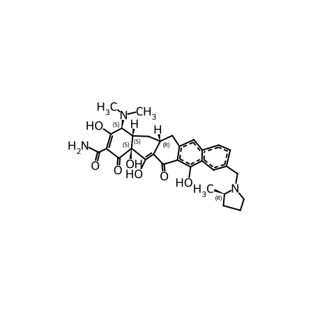 C[C@@H]1CCCN1Cc1ccc2cc3c(c(O)c2c1)C(=O)C1=C(O)[C@]2(O)C(=O)C(C(N)=O)=C(O)[C@@H](N(C)C)[C@@H]2C[C@@H]1C3